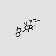 Cc1sc2nc(Cc3cncc4ccccc34)cc(=O)n2c1[C@@H]1C[C@H]1CO